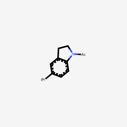 CC(=O)N1CCc2cc(C(C)C)ccc21